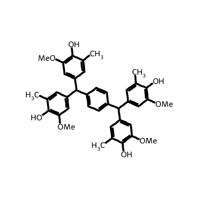 COc1cc(C(c2ccc(C(c3cc(C)c(O)c(OC)c3)c3cc(C)c(O)c(OC)c3)cc2)c2cc(C)c(O)c(OC)c2)cc(C)c1O